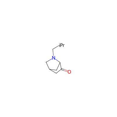 CC(C)CN1CC2CC(=O)C1C2